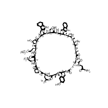 CCCC[C@H]1C(=O)N(C)[C@@H](CCCC)C(=O)N[C@@H](C)C(=O)N[C@H](C(=O)NCC(N)=O)CSCC(=O)N[C@@H](Cc2ccc(O)cc2)C(=O)N(C)[C@@H](C)C(=O)N[C@@H](CC(N)=O)C(=O)N2CCC[C@H]2C(=O)N[C@@H](CN)C(=O)N[C@@H](CCC(=O)O)C(=O)N2C[C@H](O)C[C@H]2C(=O)N[C@@H](Cc2c[nH]c3ccccc23)C(=O)N[C@@H](CO)C(=O)N[C@@H](Cc2c[nH]c3ccccc23)C(=O)N1C